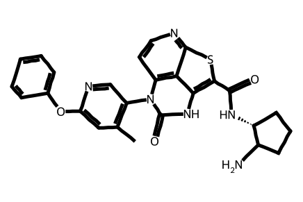 Cc1cc(Oc2ccccc2)ncc1N1C(=O)Nc2c(C(=O)N[C@@H]3CCCC3N)sc3nccc1c23